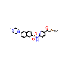 CC(=O)SCC(=O)c1ccc(NS(=O)(=O)c2ccc3cc(N4CCN(C)CC4)ccc3c2)nc1